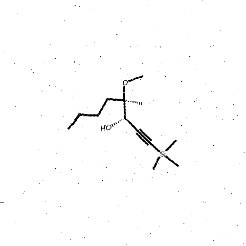 CCCC[C@@](C)(OC)[C@@H](O)C#C[Si](C)(C)C